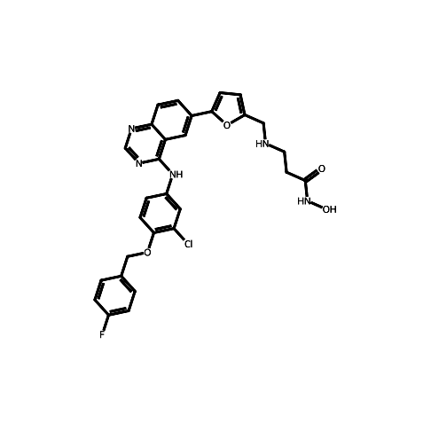 O=C(CCNCc1ccc(-c2ccc3ncnc(Nc4ccc(OCc5ccc(F)cc5)c(Cl)c4)c3c2)o1)NO